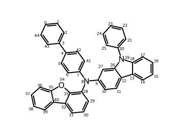 c1ccc(-c2ccc(N(c3ccc4c5ccccc5n(-c5ccccc5)c4c3)c3cccc4c3oc3ccccc34)cc2)cc1